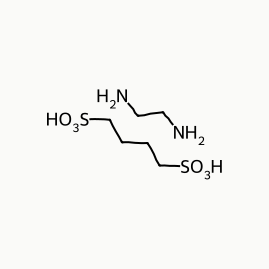 NCCN.O=S(=O)(O)CCCCS(=O)(=O)O